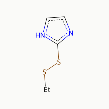 [CH2]CSSc1ncc[nH]1